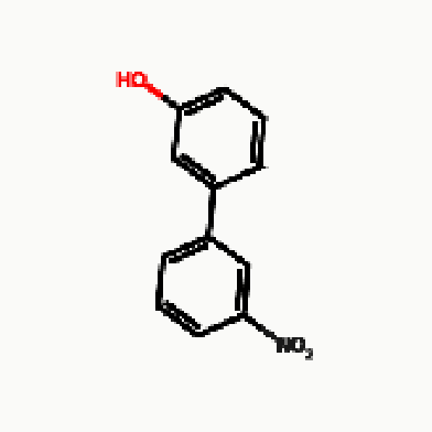 O=[N+]([O-])c1cccc(-c2[c]ccc(O)c2)c1